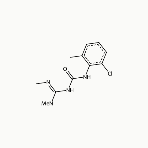 CN=C(NC)NC(=O)Nc1c(C)cccc1Cl